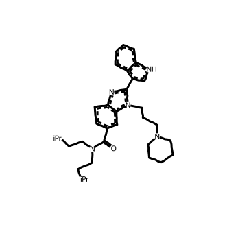 CC(C)CCN(CCC(C)C)C(=O)c1ccc2nc(-c3c[nH]c4ccccc34)n(CCCN3CCCCC3)c2c1